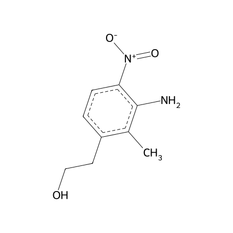 Cc1c(CCO)ccc([N+](=O)[O-])c1N